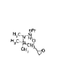 CCC[SiH](OCC1CO1)N(C)[Si](C)(C)C